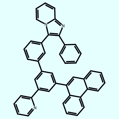 c1ccc(-c2nc3ccccn3c2-c2cccc(-c3cc(-c4ccccn4)cc(-c4cc5ccccc5c5ccccc45)c3)c2)cc1